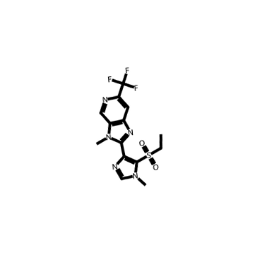 CCS(=O)(=O)c1c(-c2nc3cc(C(F)(F)F)ncc3n2C)ncn1C